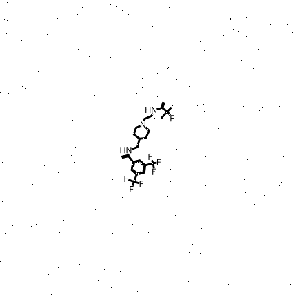 C=C(NCC1CCN(CCNC(=C)C(C)(C)F)CC1)c1cc(C(F)(F)F)cc(C(F)(F)F)c1